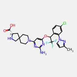 Cc1ccn(-c2cc(Cl)ccc2C(Oc2cc(N3CCC4(CC3)CN[C@H](C(=O)O)C4)nc(N)n2)C(F)(F)F)n1